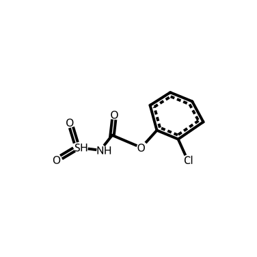 O=C(N[SH](=O)=O)Oc1ccccc1Cl